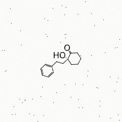 O=C1CCCC[C@@]1(O)CCc1ccccc1